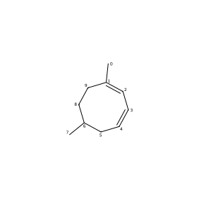 CC1=CC=CCC(C)CC1